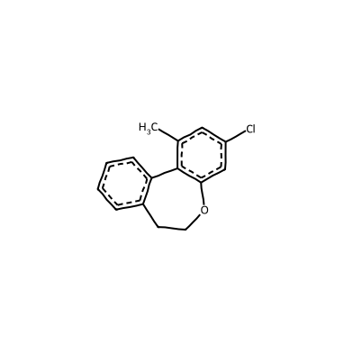 Cc1cc(Cl)cc2c1-c1ccccc1CCO2